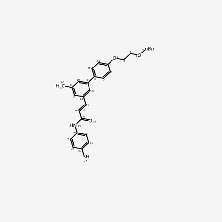 CCCCOCCOc1ccc(-c2cc(C)cc(/C=C/C(=O)Nc3ccc(S)cc3)c2)cc1